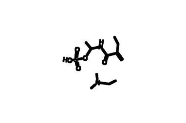 C=C(CC)C(=O)NC(C)OS(=O)(=O)O.CCN(C)C